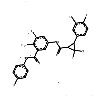 Cc1c(F)cc(NC(=O)C2C(c3ccc(F)c(Cl)c3)C2(Cl)Cl)cc1C(=O)Nc1ccc(F)cc1